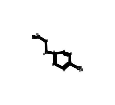 COCOc1ccc(C(F)(F)F)cc1